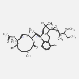 CC[C@H](OC)[C@@H](C)[C@H]1O[C@@H]1C(NCc1c(Cl)cccc1Cl)C(C)(O)/C=C/C=C(\C)C1OC(=O)C[C@H](O)CC[C@@](C)(O)[C@@H](OC(C)=O)/C=C/[C@@H]1C